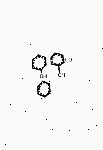 O.Oc1ccccc1.Oc1ccccc1.c1ccccc1